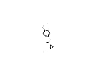 C[C@@H]1C[C@H]1C(=O)Nc1ccc(CN)cc1